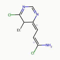 CCC1C(Cl)=NC=N/C1=C/C=C(\N)Cl